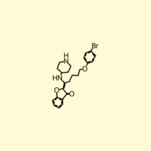 O=C1/C(=C(\CCCCOc2ccc(Br)cc2)NC2CCNCC2)Oc2ccccc21